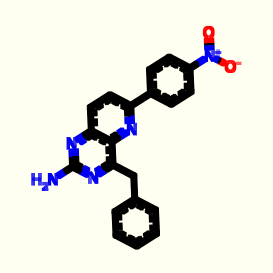 Nc1nc(Cc2ccccc2)c2nc(-c3ccc([N+](=O)[O-])cc3)ccc2n1